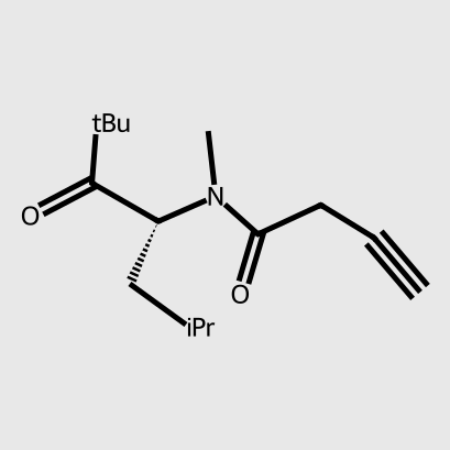 C#CCC(=O)N(C)[C@H](CC(C)C)C(=O)C(C)(C)C